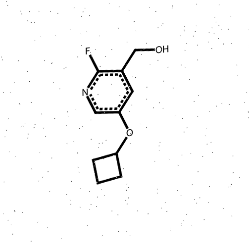 OCc1cc(OC2CCC2)cnc1F